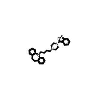 c1ccc2c(c1)CCc1ccccc1N2CCCCN1CCN(c2nsc3ccccc23)CC1